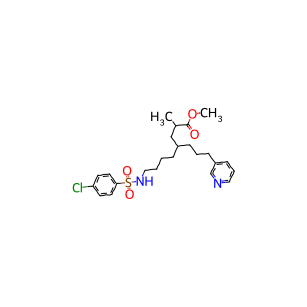 COC(=O)C(C)CC(CCCCNS(=O)(=O)c1ccc(Cl)cc1)CCCc1cccnc1